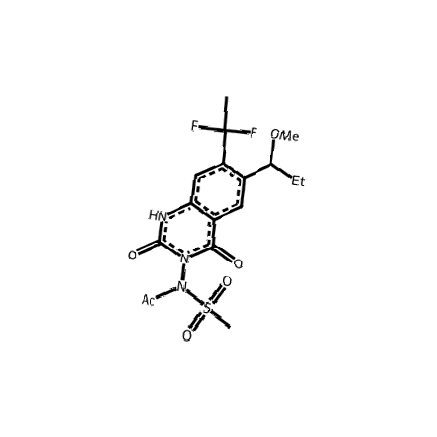 CCC(OC)c1cc2c(=O)n(N(C(C)=O)S(C)(=O)=O)c(=O)[nH]c2cc1C(C)(F)F